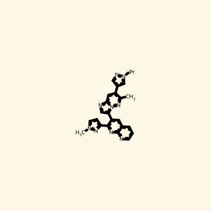 Cc1nn2c(-c3cc4cccnc4nc3-c3ccn(C)n3)cnc2cc1-c1cnn(C(C)C)c1